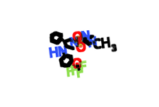 Cn1cnc(S(=O)(=O)N2C[C@H](Nc3ccc(F)c(OC(F)(F)F)c3)[C@@H](c3ccccc3)C2)c1